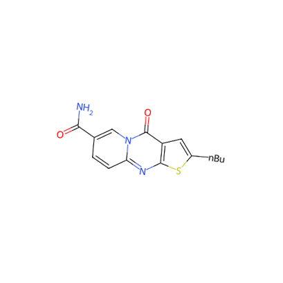 CCCCc1cc2c(=O)n3cc(C(N)=O)ccc3nc2s1